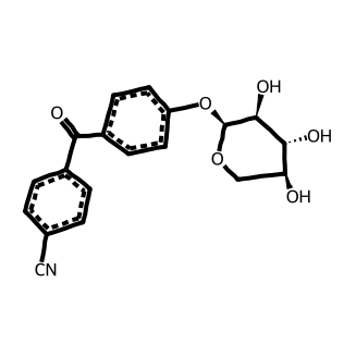 N#Cc1ccc(C(=O)c2ccc(O[C@@H]3OC[C@H](O)[C@@H](O)[C@@H]3O)cc2)cc1